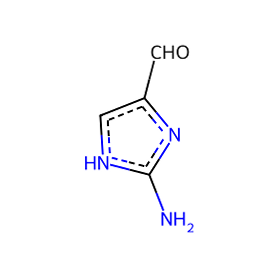 Nc1nc(C=O)c[nH]1